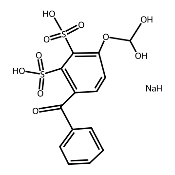 O=C(c1ccccc1)c1ccc(OC(O)O)c(S(=O)(=O)O)c1S(=O)(=O)O.[NaH]